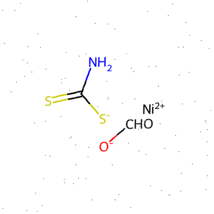 NC(=S)[S-].O=C[O-].[Ni+2]